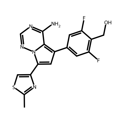 Cc1nc(-c2cc(-c3cc(F)c(CO)c(F)c3)c3c(N)ncnn23)cs1